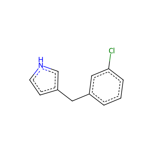 Clc1cccc(Cc2cc[nH]c2)c1